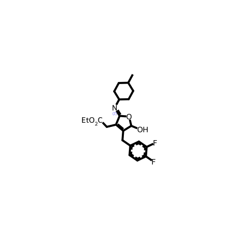 CCOC(=O)CC1=C(Cc2ccc(F)c(F)c2)C(O)O/C1=N\C1CCC(C)CC1